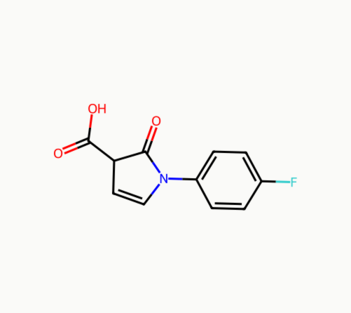 O=C(O)C1C=CN(c2ccc(F)cc2)C1=O